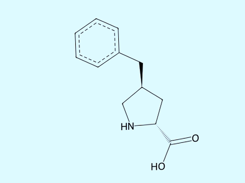 O=C(O)[C@H]1C[C@H](Cc2ccccc2)CN1